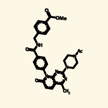 COC(=O)c1ccc(CNC(=O)c2ccc(-n3c(=O)ccc4c(C)nc(N5CCN(C(C)=O)CC5)nc43)cc2)cc1